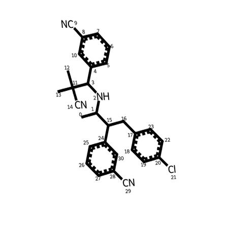 CC(NC(c1cccc(C#N)c1)C(C)(C)C#N)C(Cc1ccc(Cl)cc1)c1cccc(C#N)c1